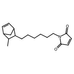 CC1C2C=CC(C2)C1CCCCCCN1C(=O)C=CC1=O